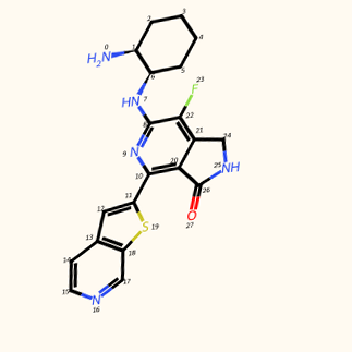 N[C@H]1CCCC[C@H]1Nc1nc(-c2cc3ccncc3s2)c2c(c1F)CNC2=O